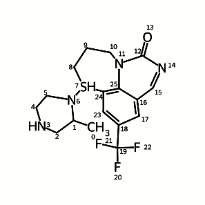 CC1CNCCN1[SH]1CCCn2c(=O)ncc3cc(C(F)(F)F)cc1c32